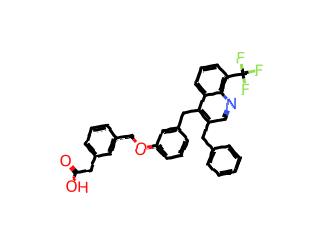 O=C(O)Cc1cccc(COc2cccc(Cc3c(Cc4ccccc4)cnc4c(C(F)(F)F)cccc34)c2)c1